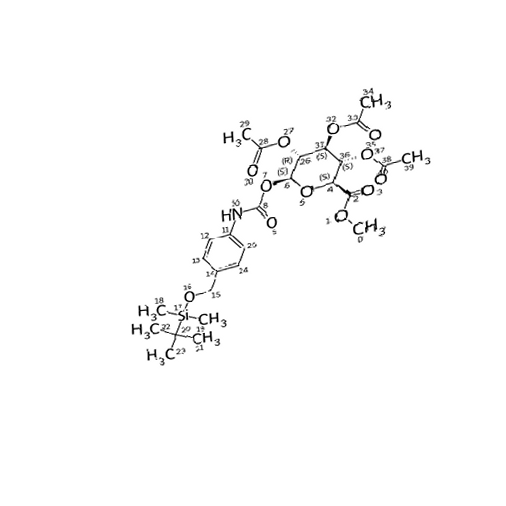 COC(=O)[C@H]1O[C@@H](OC(=O)Nc2ccc(CO[Si](C)(C)C(C)(C)C)cc2)[C@H](OC(C)=O)[C@@H](OC(C)=O)[C@@H]1OC(C)=O